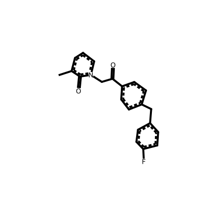 Cc1cccn(CC(=O)c2ccc(Cc3ccc(F)cc3)cc2)c1=O